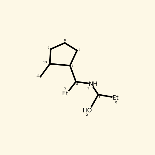 CCC(O)NC(CC)C1CCCC1C